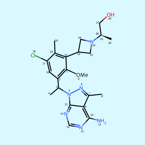 COc1c(C(C)n2nc(C)c3c(N)ncnc32)cc(Cl)c(C)c1C1CN([C@H](C)CO)C1